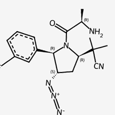 C[C@@H](N)C(=O)N1[C@H](c2cccc(F)c2)[C@@H](N=[N+]=[N-])C[C@@H]1C(C)(C)C#N